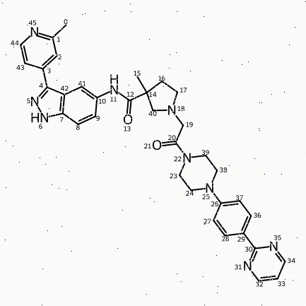 Cc1cc(-c2n[nH]c3ccc(NC(=O)C4(C)CCN(CC(=O)N5CCN(c6ccc(-c7ncccn7)cc6)CC5)C4)cc23)ccn1